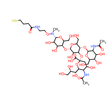 CC(=O)NC1C(O)[C@@H](O)C(CO)O[C@H]1O[C@H]1C(CO)O[C@@H](O[C@@H]2C(CO)O[C@@H](N(C)OCCNC(=O)CCCS)C(O)C2O)C(O)C1O[C@]1(C(=O)O)CC(O)[C@@H](NC(C)=O)C([C@H](O)[C@H](O)CO)O1